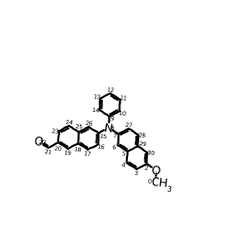 COc1ccc2cc(N(c3ccccc3)c3ccc4cc(C=O)ccc4c3)ccc2c1